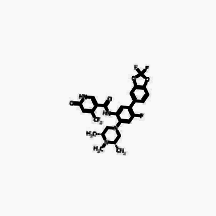 C[C@@H]1CN(c2cc(F)c(-c3ccc4c(c3)OC(F)(F)O4)cc2NC(=O)c2c[nH]c(=O)cc2C(F)(F)F)C[C@H](C)N1C